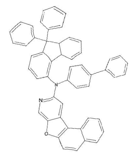 C1=CC2c3c(N(c4ccc(-c5ccccc5)cc4)c4cc5c(cn4)oc4ccc6ccccc6c45)cccc3C(c3ccccc3)(c3ccccc3)C2C=C1